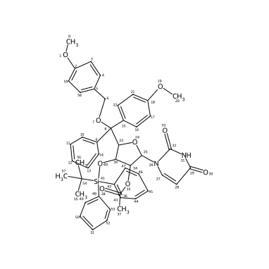 COc1ccc(COC(c2ccccc2)(c2ccc(OC)cc2)C2OC(n3ccc(=O)[nH]c3=O)C(OC(C)=O)C2O[Si](c2ccccc2)(c2ccccc2)C(C)(C)C)cc1